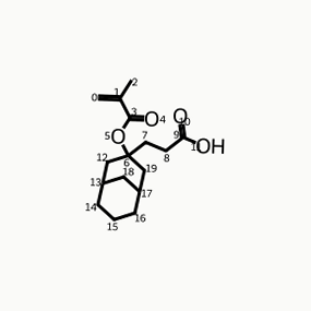 C=C(C)C(=O)OC1(CCC(=O)O)CC2CCCC(C2)C1